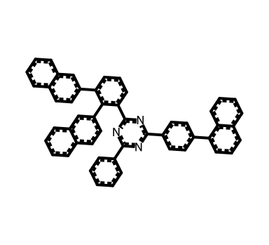 c1ccc(-c2nc(-c3ccc(-c4cccc5ccccc45)cc3)nc(-c3cccc(-c4ccc5ccccc5c4)c3-c3ccc4ccccc4c3)n2)cc1